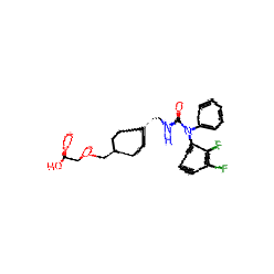 O=C(O)COC[C@H]1CC[C@H](CNC(=O)N(c2ccccc2)c2cccc(F)c2F)CC1